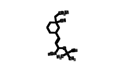 CCCCCCCCC(/C=C/C1CCCC(O)(CC(=O)OCC)C1)O[Si](C)(C)C(C)(C)C